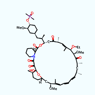 CCO[C@@H]1/C(C)=C/[C@@H](C)C(=O)C[C@@H]([C@H](C)C[C@@H]2CC[C@@H](OP(C)(C)=O)[C@H](OC)C2)OC(=O)[C@@H]2CCCCN2C(=O)C(=O)[C@]2(O)O[C@@H](CC[C@H]2C)C[C@H](OC)/C(C)=C/C=C/C=C/[C@@H](C)C[C@@H](C)C(=O)[C@@H]1OC